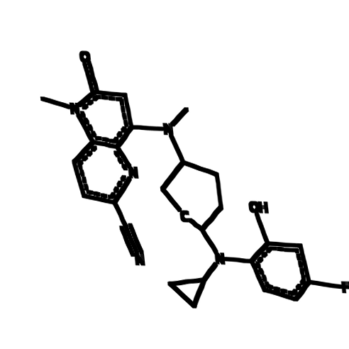 CN(c1cc(=O)n(C)c2ccc(C#N)nc12)C1CCC(N(c2ccc(F)cc2O)C2CC2)CC1